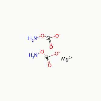 NO[Si](=O)[O-].NO[Si](=O)[O-].[Mg+2]